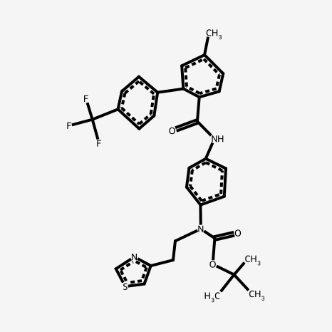 Cc1ccc(C(=O)Nc2ccc(N(CCc3cscn3)C(=O)OC(C)(C)C)cc2)c(-c2ccc(C(F)(F)F)cc2)c1